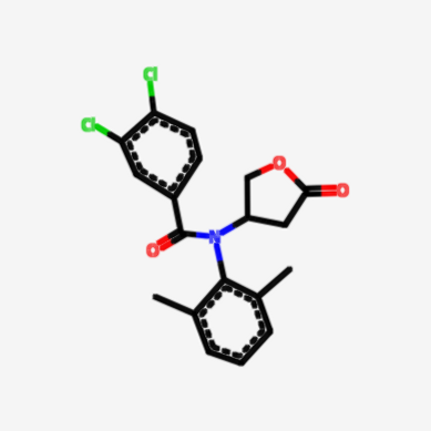 Cc1cccc(C)c1N(C(=O)c1ccc(Cl)c(Cl)c1)C1COC(=O)C1